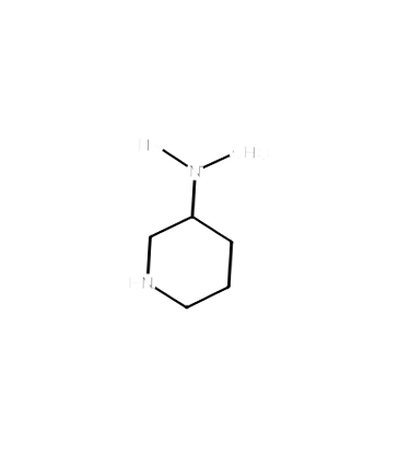 O=CN(S)C1CCCNC1